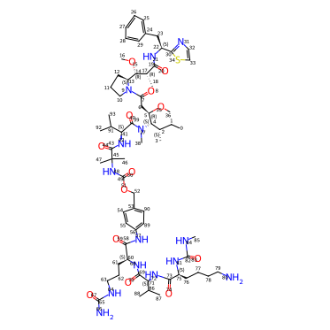 CC[C@H](C)[C@@H]([C@@H](CC(=O)N1CCC[C@H]1[C@H](OC)[C@@H](C)C(=O)N[C@@H](Cc1ccccc1)c1nccs1)OC)N(C)C(=O)[C@@H](NC(=O)C(C)(C)NC(=O)OCc1ccc(NC(=O)[C@H](CCCNC(N)=O)NC(=O)[C@@H](NC(=O)[C@H](CCCCN)NC(=O)NC)C(C)C)cc1)C(C)C